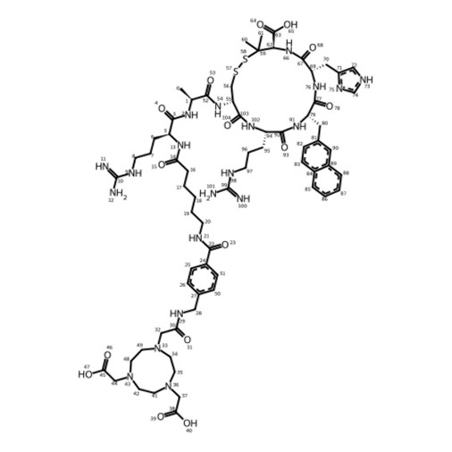 C[C@H](NC(=O)[C@H](CCCNC(=N)N)NC(=O)CCCCCNC(=O)c1ccc(CNC(=O)CN2CCN(CC(=O)O)CCN(CC(=O)O)CC2)cc1)C(=O)N[C@@H]1CSSC(C)(C)[C@@H](C(=O)O)NC(=O)[C@H](Cc2c[nH]cn2)NC(=O)[C@H](Cc2ccc3ccccc3c2)NC(=O)[C@H](CCCNC(=N)N)NC1=O